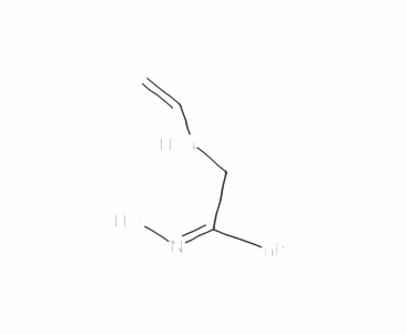 C=C[SiH2]CC(CCC)=NO